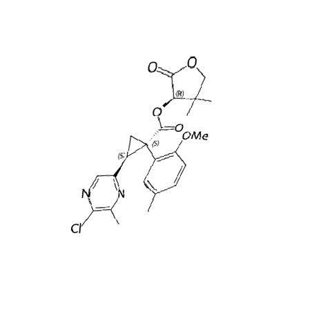 COc1ccc(C)cc1[C@]1(C(=O)O[C@H]2C(=O)OCC2(C)C)C[C@@H]1c1cnc(Cl)c(C)n1